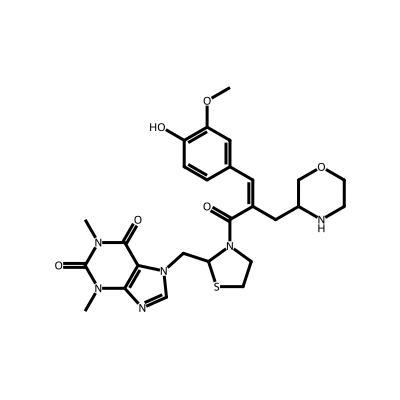 COc1cc(C=C(CC2COCCN2)C(=O)N2CCSC2Cn2cnc3c2c(=O)n(C)c(=O)n3C)ccc1O